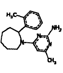 Cc1cc(N2CCCCCC2c2ccccc2C)nc(N)n1